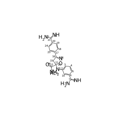 CC(=O)N(c1cccc(C(=N)N)c1)C1(C(N)=O)CC(c2ccc(C(=N)N)cc2)=NO1